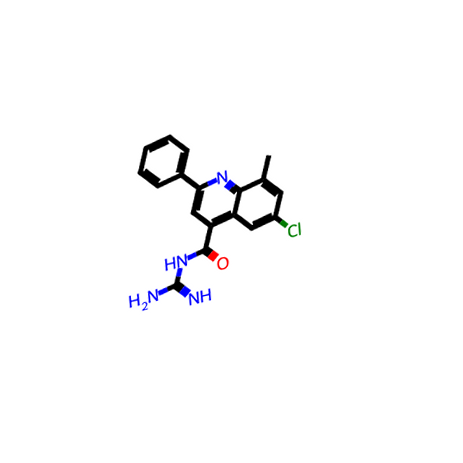 Cc1cc(Cl)cc2c(C(=O)NC(=N)N)cc(-c3ccccc3)nc12